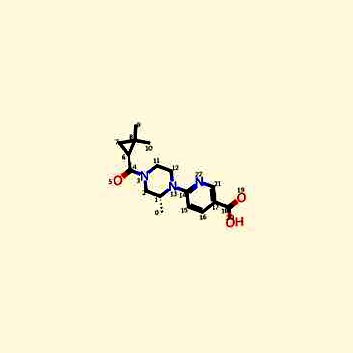 C[C@@H]1CN(C(=O)[C@H]2CC2(C)C)CCN1c1ccc(C(=O)O)cn1